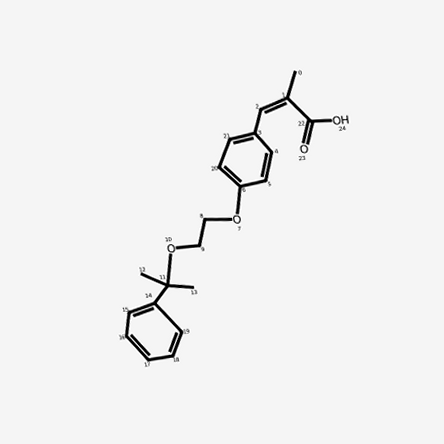 CC(=Cc1ccc(OCCOC(C)(C)c2ccccc2)cc1)C(=O)O